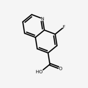 O=C(O)c1cc(F)c2ncccc2c1